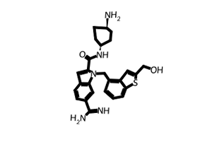 N=C(N)c1ccc2cc(C(=O)N[C@H]3CC[C@H](N)CC3)n(Cc3cccc4sc(CO)cc34)c2c1